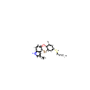 Cc1cc(SCC(=O)O)cc(Br)c1Oc1ccc2[nH]cc(C(C)C)c2c1